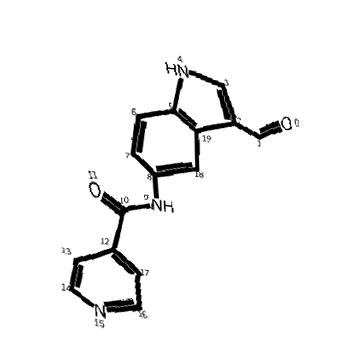 O=Cc1c[nH]c2ccc(NC(=O)c3ccncc3)cc12